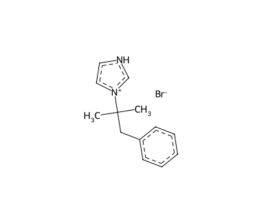 CC(C)(Cc1ccccc1)[n+]1cc[nH]c1.[Br-]